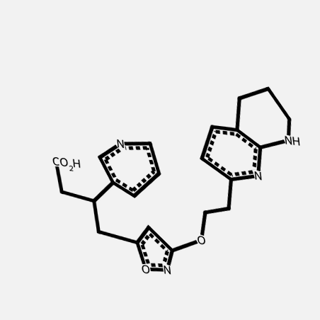 O=C(O)CC(Cc1cc(OCCc2ccc3c(n2)NCCC3)no1)c1cccnc1